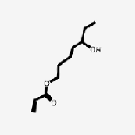 C=CC(=O)OCCCCC(O)CC